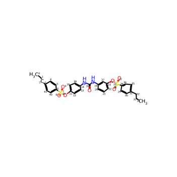 CCCc1ccc(S(=O)(=O)Oc2ccc(NC(=O)Nc3cccc(OS(=O)(=O)c4ccc(CCC)cc4)c3)cc2)cc1